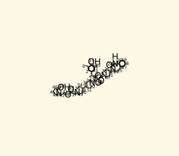 Cc1cc(C[C@@H](OC(=O)N2CCC(N3CCc4ccccc4NC3=O)CC2)C(=O)N2CCC(C3CCN(CC(=O)OCCN4CCCC4O)CC3)CC2)cc(C)c1O